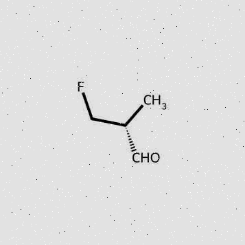 C[C@H](C=O)CF